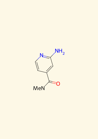 [CH2+][N-]C(=O)c1ccnc(N)c1